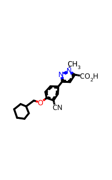 Cn1nc(-c2ccc(OCC3CCCCC3)c(C#N)c2)cc1C(=O)O